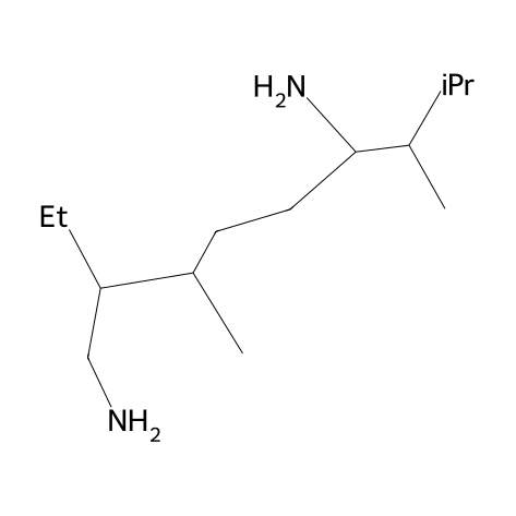 CCC(CN)C(C)CCC(N)C(C)C(C)C